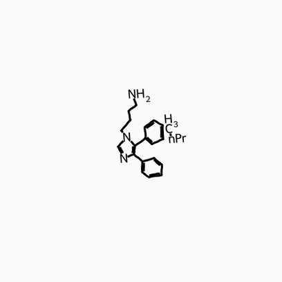 CCCC.NCCCCn1cnc(-c2ccccc2)c1-c1ccccc1